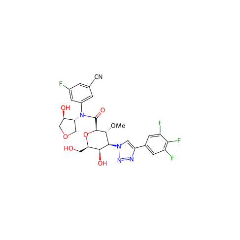 CO[C@@H]1[C@@H](n2cc(-c3cc(F)c(F)c(F)c3)nn2)[C@@H](O)[C@@H](CO)O[C@H]1C(=O)N(c1cc(F)cc(C#N)c1)[C@@H]1COC[C@H]1O